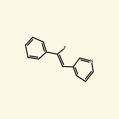 FC(=Cc1cccnc1)c1ccccc1